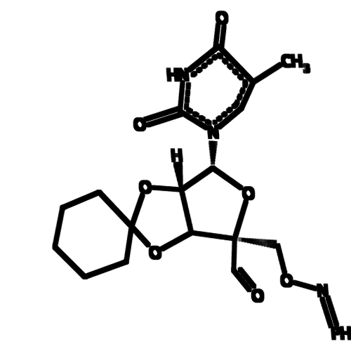 Cc1cn([C@@H]2O[C@](C=O)(CON=P)C3OC4(CCCCC4)O[C@@H]32)c(=O)[nH]c1=O